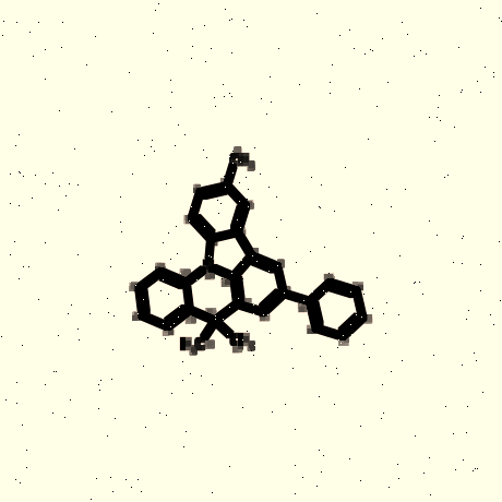 Cc1ccc2c(c1)c1cc(-c3ccccc3)cc3c1n2-c1ccccc1C3(C)C